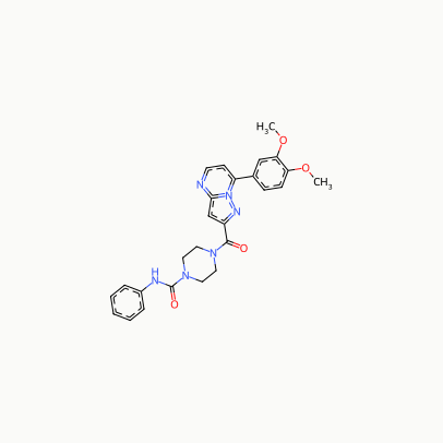 COc1ccc(-c2ccnc3cc(C(=O)N4CCN(C(=O)Nc5ccccc5)CC4)nn23)cc1OC